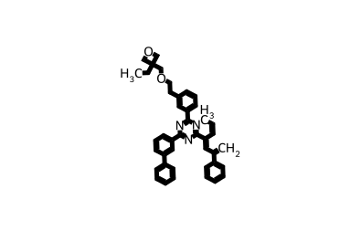 C=C(/C=C(\C=C/C)c1nc(-c2cccc(CCOCC3(CC)COC3)c2)nc(-c2cccc(-c3ccccc3)c2)n1)c1ccccc1